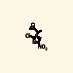 CC(C1CO1)n1cc([N+](=O)[O-])nc1Cl